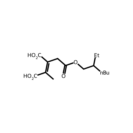 CCCCC(CC)COC(=O)CC(C(=O)O)=C(C)C(=O)O